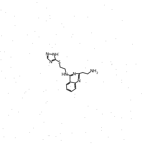 NCCc1nc(NCCSc2ncn[nH]2)c2ccccc2n1